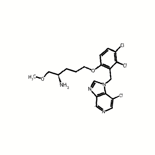 COC[C@H](N)CCCOc1ccc(Cl)c(Cl)c1Cn1cnc2[c]ncc(Cl)c21